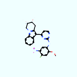 COc1cc(F)c([N+](=O)[O-])cc1Nc1nccc(-c2c3n(c4ccccc24)C[C@@H](O)[C@@H](O)C3)n1